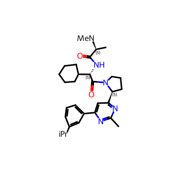 CN[C@@H](C)C(=O)N[C@H](C(=O)N1CCC[C@H]1c1cc(-c2cccc(C(C)C)c2)nc(C)n1)C1CCCCC1